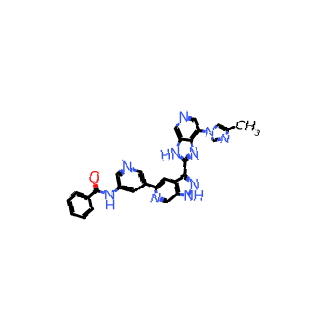 Cc1cn(-c2cncc3[nH]c(-c4n[nH]c5cnc(-c6cncc(NC(=O)c7ccccc7)c6)cc45)nc23)cn1